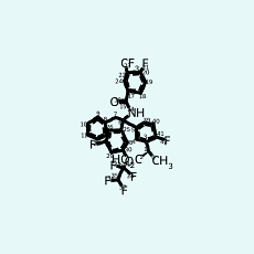 C[C@@H](C(=O)O)c1cc(C(Cc2ccccc2)(NC(=O)c2ccc(F)c(C(F)(F)F)c2)c2cc(F)cc(OC(F)(F)C(F)F)c2)ccc1F